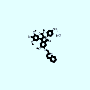 COC(=O)c1c(-c2cc(OC)c(Br)c(OC)c2)c2cc(OC)c(OCc3ccc4ccccc4n3)cc2c(=O)n1-c1ccc(N)cc1.Cl.Cl